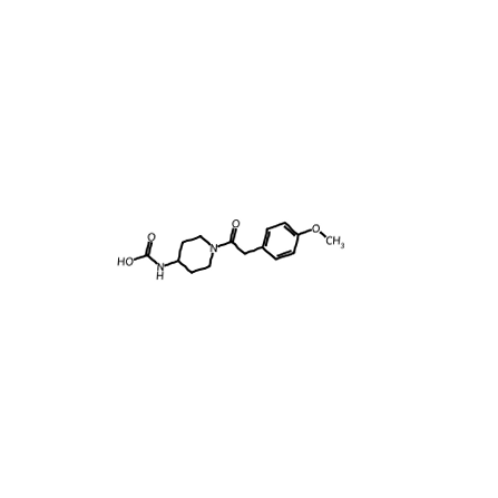 COc1ccc(CC(=O)N2CCC(NC(=O)O)CC2)cc1